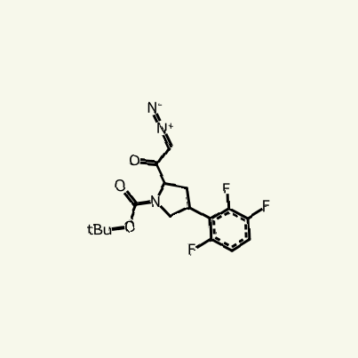 CC(C)(C)OC(=O)N1CC(c2c(F)ccc(F)c2F)CC1C(=O)C=[N+]=[N-]